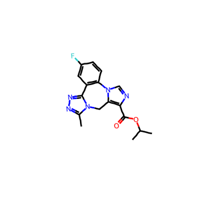 Cc1nnc2n1Cc1c(C(=O)OC(C)C)ncn1-c1ccc(F)cc1-2